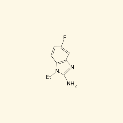 CCn1c(N)nc2cc(F)ccc21